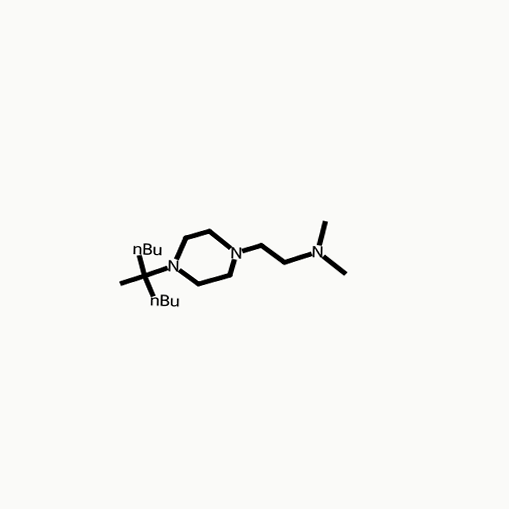 CCCCC(C)(CCCC)N1CCN(CCN(C)C)CC1